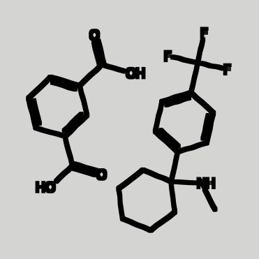 CNC1(c2ccc(C(F)(F)F)cc2)CCCCC1.O=C(O)c1cccc(C(=O)O)c1